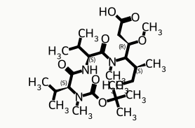 CC[C@H](C)C([C@@H](CC(=O)O)OC)N(C)C(=O)[C@@H](NC(=O)[C@H](C(C)C)N(C)C(=O)OC(C)(C)C)C(C)C